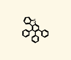 c1ccc(-c2cc3sc4ccccc4c3c(-c3ccccc3)c2-c2ccccc2)cc1